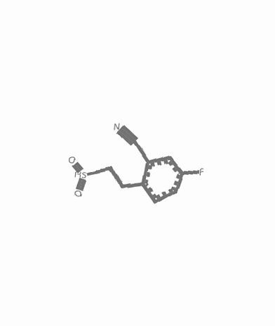 N#Cc1cc(F)ccc1CC[SH](=O)=O